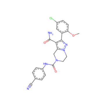 COc1ccc(Cl)cc1-c1nn2c(c1C(N)=O)CN(C(=O)Nc1ccc(C#N)cc1)CC2